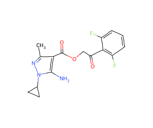 Cc1nn(C2CC2)c(N)c1C(=O)OCC(=O)c1c(F)cccc1F